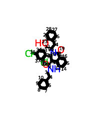 O=C(NCCc1ccccc1)[C@@H]1c2ccccc2C(=O)N([C@@H](CO)Cc2ccccc2)[C@H]1c1ccc(Cl)cc1Cl